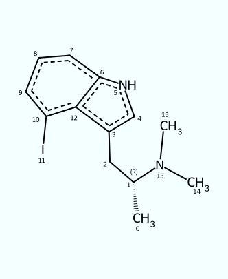 C[C@H](Cc1c[nH]c2cccc(I)c12)N(C)C